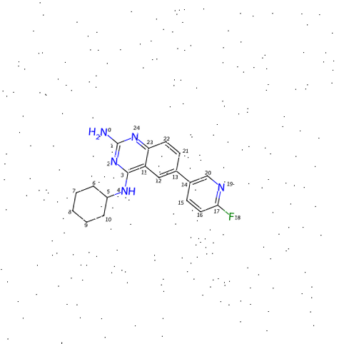 Nc1nc(NC2CCCCC2)c2cc(-c3ccc(F)nc3)ccc2n1